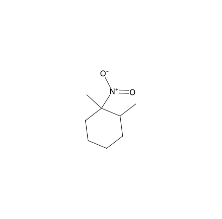 CC1CCCCC1(C)[N+](=O)[O-]